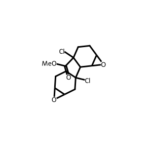 COC(=O)C1(Cl)CCC2OC2C1C1(Cl)CCC2OC2C1